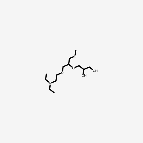 CCN(CC)CCOCC(COC)OCC(O)CO